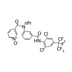 CCCN(C(=O)c1ccc[n+]([O-])c1)c1cccc(C(=O)Nc2c(Cl)cc(C(F)(C(F)(F)F)C(F)(F)F)cc2Cl)c1